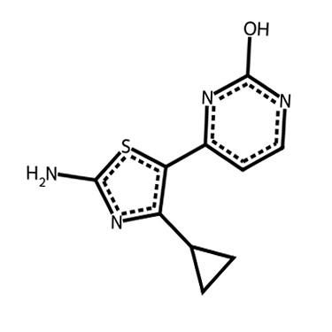 Nc1nc(C2CC2)c(-c2ccnc(O)n2)s1